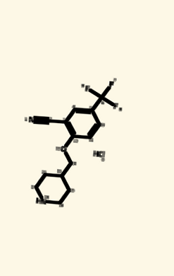 Cl.N#Cc1cc(C(F)(F)F)ccc1OCC1CCNCC1